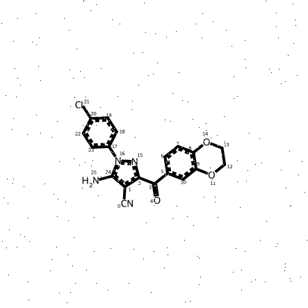 N#Cc1c(C(=O)c2ccc3c(c2)OCCO3)nn(-c2ccc(Cl)cc2)c1N